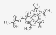 CC(=O)N[C@@H]1[C@@H](OC(C)=O)CC(OC(C)=O)(C(=O)O)O[C@H]1C(O)C(O)COC(=O)C(C)O